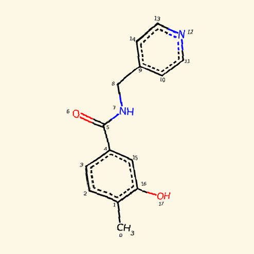 Cc1ccc(C(=O)NCc2ccncc2)cc1O